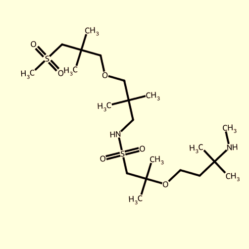 CNC(C)(C)CCOC(C)(C)CS(=O)(=O)NCC(C)(C)COCC(C)(C)CS(C)(=O)=O